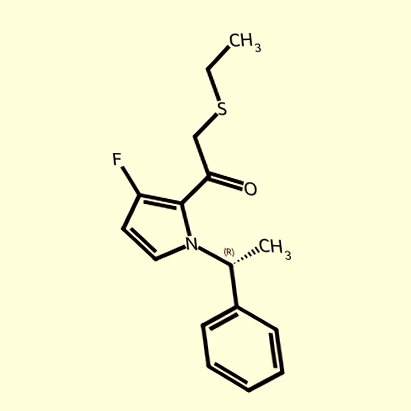 CCSCC(=O)c1c(F)ccn1[C@H](C)c1ccccc1